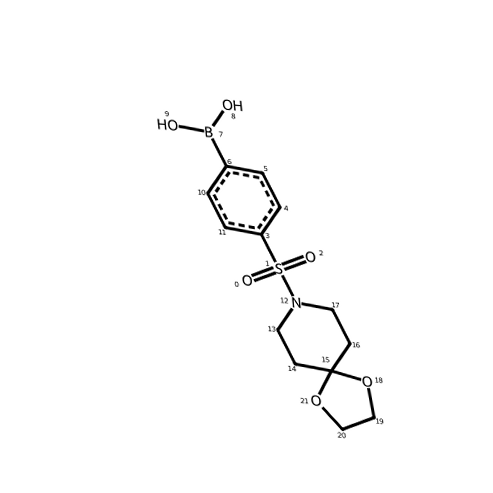 O=S(=O)(c1ccc(B(O)O)cc1)N1CCC2(CC1)OCCO2